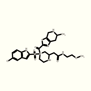 COCCNC(=O)CC1C[N+](C(=O)c2nc3c(s2)CNC(C)C3)(S(=O)(=O)c2cc3cc(Cl)ccc3[nH]2)CCN1